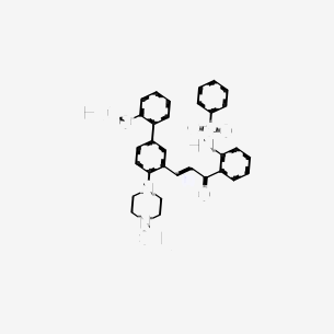 COc1ccccc1-c1ccc(N2CCN(C)CC2)c(/C=C/C(=O)c2ccccc2NS(=O)(=O)c2ccccc2)c1